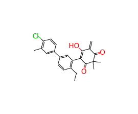 C=C1C(=O)C(C)(C)C(=O)C(c2cc(-c3ccc(Cl)c(C)c3)ccc2CC)=C1O